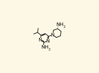 CC(C)c1cc(N2CCC[C@@H](N)C2)nc(N)n1